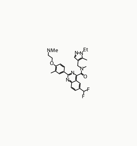 CCn1ncc(CN(C)C(=O)c2nc(-c3ccc(OCCNC)c(C)c3)nc3ccc(C(F)F)cc23)c1C